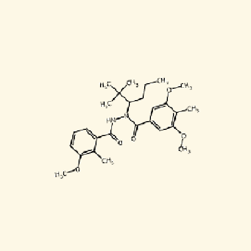 CCCC(N(NC(=O)c1cccc(OC)c1C)C(=O)c1cc(OC)c(C)c(OC)c1)C(C)(C)C